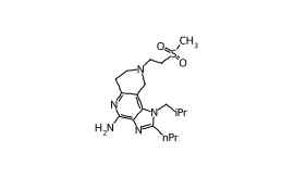 CCCc1nc2c(N)nc3c(c2n1CC(C)C)CN(CCS(C)(=O)=O)CC3